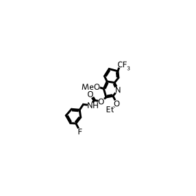 CCOc1nc2cc(C(F)(F)F)ccc2c(OC)c1OC(=O)NCc1cccc(F)c1